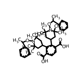 CC(ON1C(C)(C)CC(c2c(C(=O)O)ccc(C(=O)O)c2C2CC(C)(C)N(OC(C)c3ccccc3)C(C)(C)C2)CC1(C)C)c1ccccc1